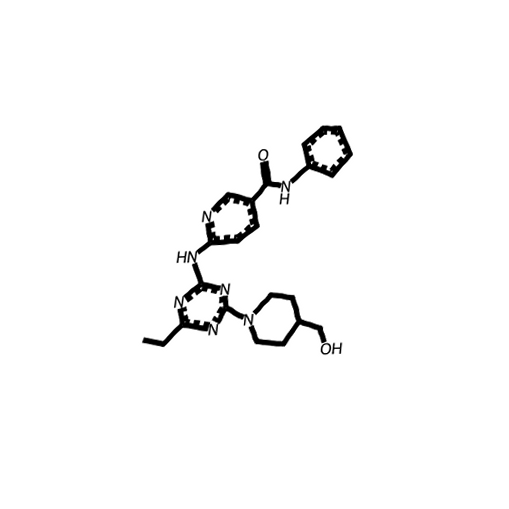 CCc1nc(Nc2ccc(C(=O)Nc3ccccc3)cn2)nc(N2CCC(CO)CC2)n1